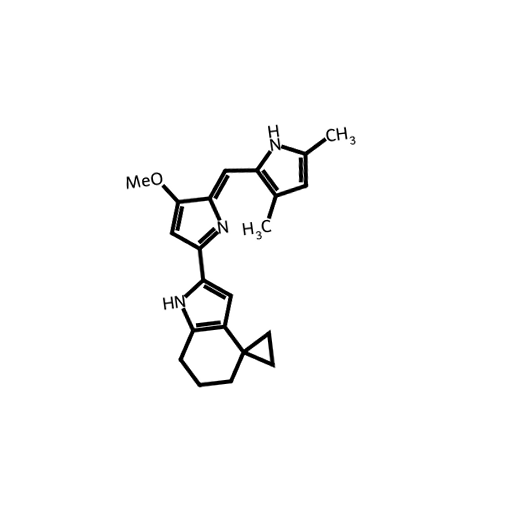 COC1=CC(c2cc3c([nH]2)CCCC32CC2)=N/C1=C\c1[nH]c(C)cc1C